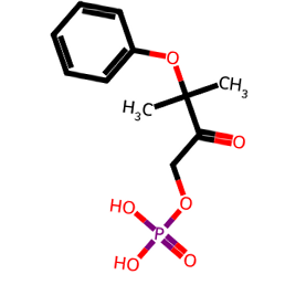 CC(C)(Oc1ccccc1)C(=O)COP(=O)(O)O